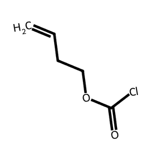 C=CCCOC(=O)Cl